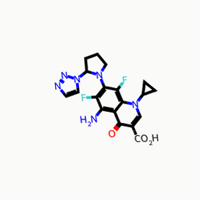 Nc1c(F)c(N2CCCC2n2ccnn2)c(F)c2c1c(=O)c(C(=O)O)cn2C1CC1